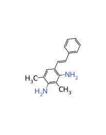 Cc1cc(C=Cc2ccccc2)c(N)c(C)c1N